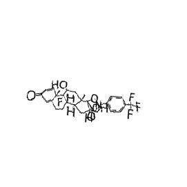 C[C@]12C=CC(=O)C=C1CC[C@H]1[C@@H]3C[C@H]4CN(c5ccc(C(F)(F)F)cc5)O[C@@]4(C(=O)O)[C@@]3(C)C[C@H](O)[C@@]12F